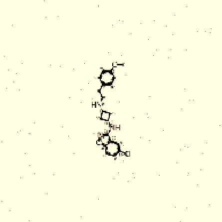 COc1ccc(CCN[C@H]2C[C@H](Nc3noc4ccc(Cl)cc34)C2)cc1